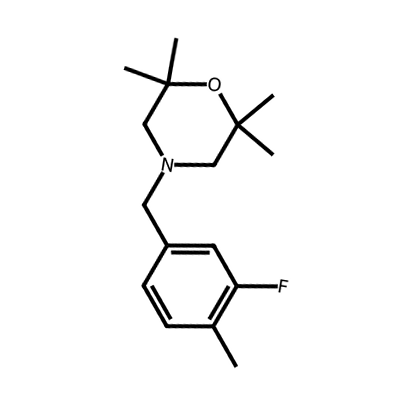 Cc1ccc(CN2CC(C)(C)OC(C)(C)C2)cc1F